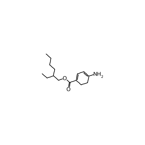 CCCCC(CC)COC(=O)C1=CC=C(N)CC1